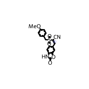 COc1ccc(CS(=O)(=O)/C(C#N)=C\c2ccc3[nH]c(=O)oc3c2)cc1